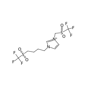 O=S(=O)(CCCCn1cc[n+](CS(=O)(=O)C(F)(F)F)c1)C(F)(F)F